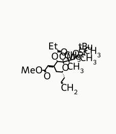 C=CC[C@@H]1C/C(=C\C(=O)OC)[C@H](OC(=O)CC)[C@](OC)(C(C)(C)CO[Si](C)(C)C(C)(C)C)O1